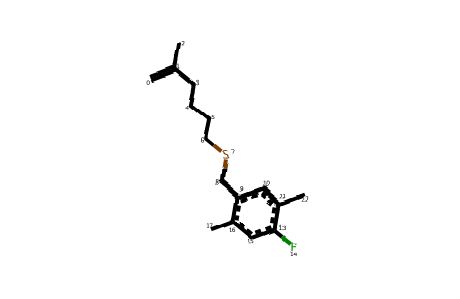 C=C(C)CCCCSCc1cc(C)c(F)cc1C